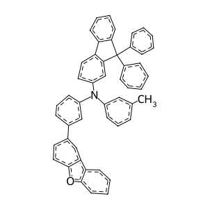 Cc1cccc(N(c2cccc(-c3ccc4oc5ccccc5c4c3)c2)c2ccc3c(c2)C(c2ccccc2)(c2ccccc2)c2ccccc2-3)c1